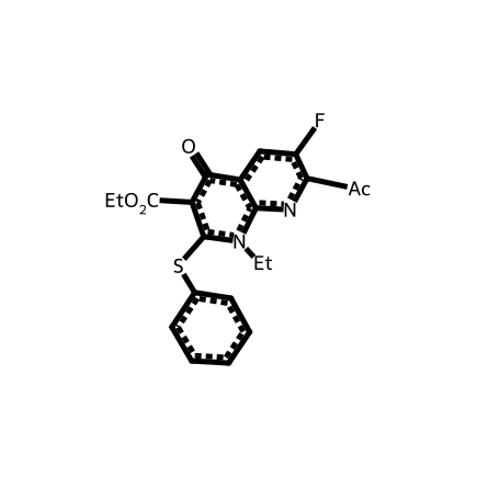 CCOC(=O)c1c(Sc2ccccc2)n(CC)c2nc(C(C)=O)c(F)cc2c1=O